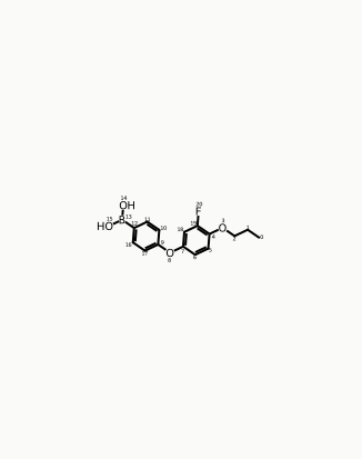 CCCOc1ccc(Oc2ccc(B(O)O)cc2)cc1F